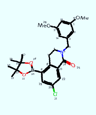 COc1cc(CN2CCc3c(B4OC(C)(C)C(C)(C)O4)cc(Cl)cc3C2=O)cc(OC)c1